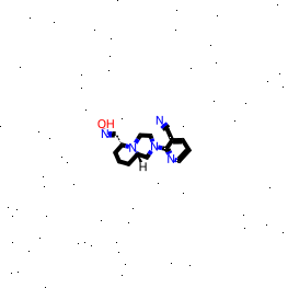 N#Cc1cccnc1N1CCN2[C@@H](CCC[C@@H]2/C=N/O)C1